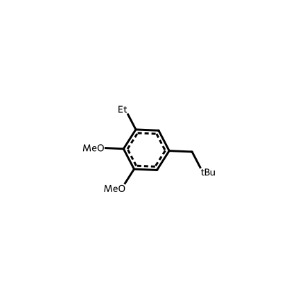 CCc1cc(CC(C)(C)C)cc(OC)c1OC